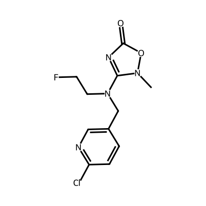 Cn1oc(=O)nc1N(CCF)Cc1ccc(Cl)nc1